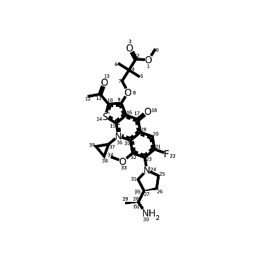 COC(=O)C(C)(C)COc1c(C(C)=O)sc2c1c(=O)c1cc(F)c(N3CC[C@@H]([C@H](C)N)C3)c(OC)c1n2C1CC1